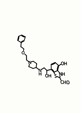 O=CC1Nc2c(O)ccc(C(O)CNC3CCN(CCOCCc4ccccc4)CC3)c2S1